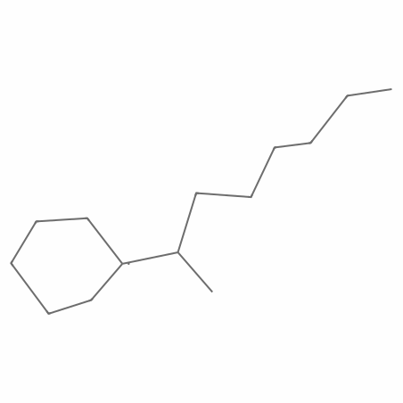 CCCCCCC(C)[C]1CCCCC1